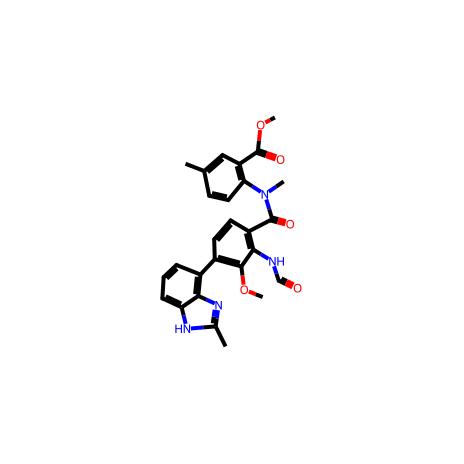 COC(=O)c1cc(C)ccc1N(C)C(=O)c1ccc(-c2cccc3[nH]c(C)nc23)c(OC)c1NC=O